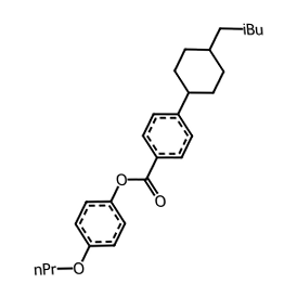 CCCOc1ccc(OC(=O)c2ccc(C3CCC(CC(C)CC)CC3)cc2)cc1